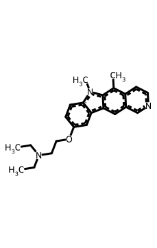 CCN(CC)CCOc1ccc2c(c1)c1cc3cnccc3c(C)c1n2C